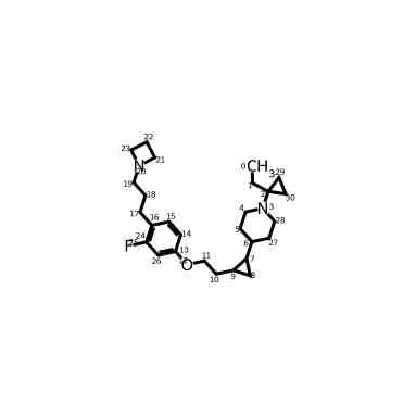 CCC1(N2CCC(C3CC3CCOc3ccc(CCCN4CCC4)c(F)c3)CC2)CC1